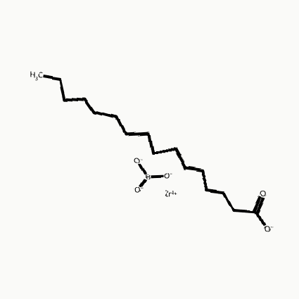 CCCCCCCCCCCCCCCC(=O)[O-].[O-]B([O-])[O-].[Zr+4]